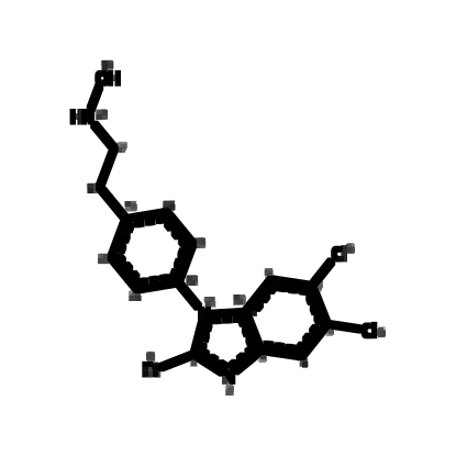 CCc1nc2cc(Cl)c(Cl)cc2n1-c1ccc(CCNO)cc1